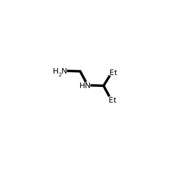 CCC(CC)NCN